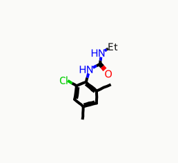 CCNC(=O)Nc1c(C)cc(C)cc1Cl